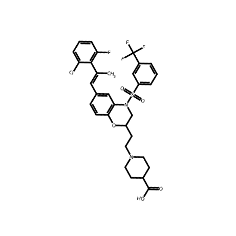 CC(=Cc1ccc2c(c1)N(S(=O)(=O)c1cccc(C(F)(F)F)c1)CC(CCN1CCC(C(=O)O)CC1)O2)c1c(F)cccc1Cl